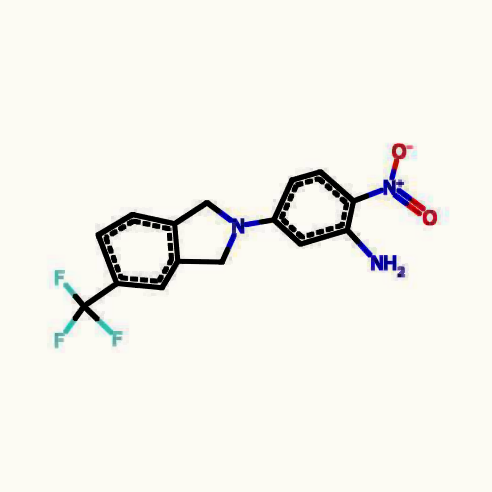 Nc1cc(N2Cc3ccc(C(F)(F)F)cc3C2)ccc1[N+](=O)[O-]